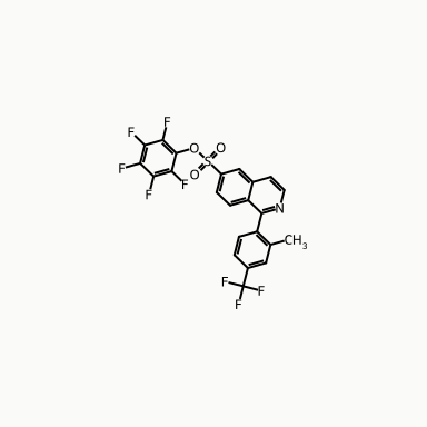 Cc1cc(C(F)(F)F)ccc1-c1nccc2cc(S(=O)(=O)Oc3c(F)c(F)c(F)c(F)c3F)ccc12